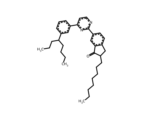 CCCCCCCCC1Cc2ccc(-c3nccc(-c4cccc(C(CCC)CCCC)c4)n3)cc2C1=O